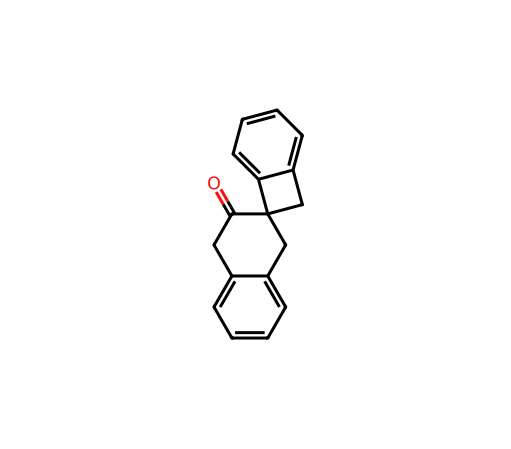 O=C1Cc2ccccc2CC12Cc1ccccc12